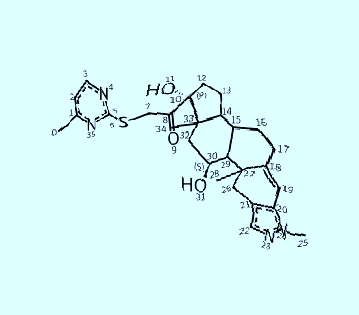 Cc1ccnc(SCC(=O)[C@@]2(O)CCC3C4CCC5=Cc6c(cnn6C)CC5(C)C4[C@@H](O)CC32C)n1